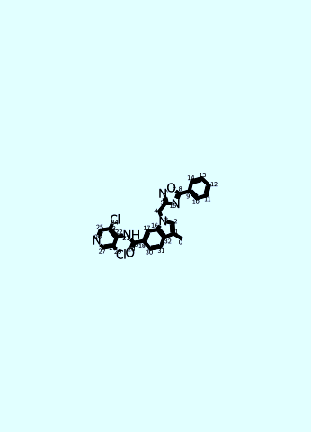 Cc1cn(Cc2noc(-c3ccccc3)n2)c2cc(C(=O)Nc3c(Cl)cncc3Cl)ccc12